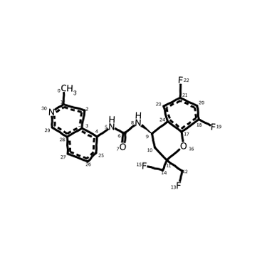 Cc1cc2c(NC(=O)N[C@@H]3CC(CF)(CF)Oc4c(F)cc(F)cc43)cccc2cn1